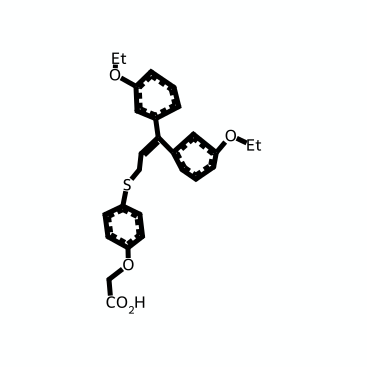 CCOc1cccc(C(=CCSc2ccc(OCC(=O)O)cc2)c2cccc(OCC)c2)c1